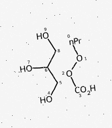 CCCOOC(=O)O.OCC(O)CO